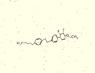 CCCCCc1ccc(CCc2ccc(-c3ccc(OCC)c(F)c3F)cc2)cc1